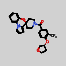 O=C(c1ccc(O[C@@H]2CCOC2)c(C(F)(F)F)c1)N1CCC2(CC1)Oc1ccccc1-n1cccc12